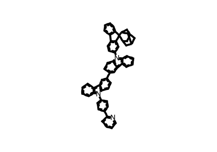 c1ccc(-c2ccc(-n3c4ccccc4c4cc(-c5ccc6c(c5)c5ccccc5n6-c5ccc6c(c5)C5(c7ccccc7-6)C6CC7CC(C6)CC5C7)ccc43)cc2)nc1